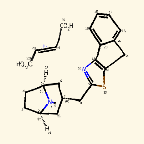 CN1[C@@H]2CC[C@H]1C[C@@H](Cc1nc3c(s1)Cc1ccccc1-3)C2.O=C(O)/C=C/C(=O)O